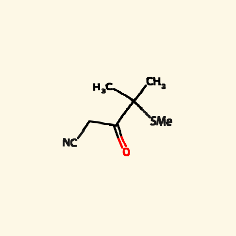 CSC(C)(C)C(=O)CC#N